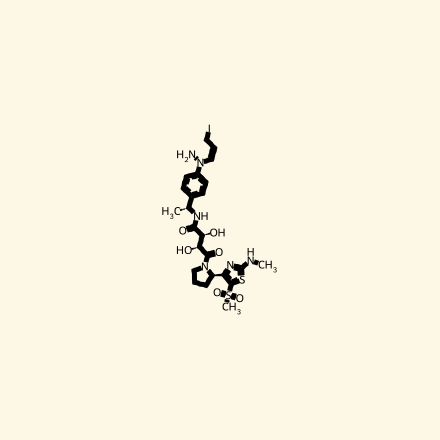 CNc1nc([C@H]2CCCN2C(=O)[C@H](O)[C@@H](O)C(=O)N[C@H](C)c2ccc(N(N)/C=C\CI)cc2)c(S(C)(=O)=O)s1